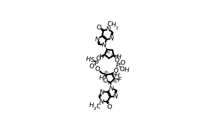 Cn1cnc2c(ncn2[C@@H]2C[C@H]3C[C@H]2OP(=O)(S)OC[C@H]2O[C@@H](n4cnc5c(=O)n(C)cnc54)[C@H](F)[C@@H]2OP(=O)(O)O3)c1=O